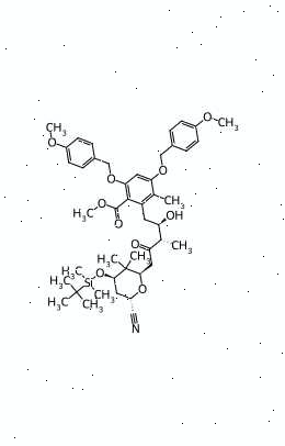 COC(=O)c1c(OCc2ccc(OC)cc2)cc(OCc2ccc(OC)cc2)c(C)c1C[C@@H](O)[C@H](C)C(=O)C[C@H]1O[C@H](C#N)C[C@@H](O[Si](C)(C)C(C)(C)C)C1(C)C